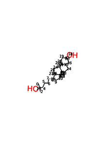 CC(C)(O)CCCC[C@H]1CCC2[C@@H]3CCC4C[C@@H](O)CC[C@]4(C)C3CC[C@@]21C